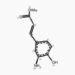 COC(=O)C=Cc1ccc(O)c(N)c1